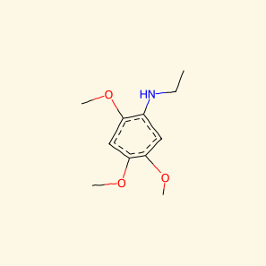 CCNc1cc(OC)c(OC)cc1OC